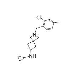 Cc1ccc(CN2CC3(CC(NC4CC4)C3)C2)c(Cl)c1